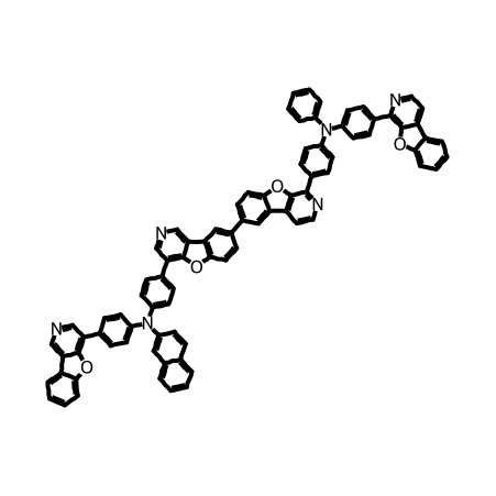 c1ccc(N(c2ccc(-c3nccc4c3oc3ccccc34)cc2)c2ccc(-c3nccc4c3oc3ccc(-c5ccc6oc7c(-c8ccc(N(c9ccc(-c%10cncc%11c%10oc%10ccccc%10%11)cc9)c9ccc%10ccccc%10c9)cc8)cncc7c6c5)cc34)cc2)cc1